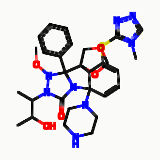 CON1N(C(C)C(C)O)C(=O)N(C2(N3CCNCC3)C=CC=C(Sc3nncn3C)C2C)C1(c1ccccc1)C1COCO1